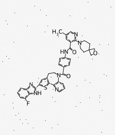 Cc1cnc(N2CCC3(CC2)COC3)c(C(=O)Nc2ccc(C(=O)N3CCc4cc(-c5nc6cccc(F)c6[nH]5)sc4-c4ncccc43)cc2)c1